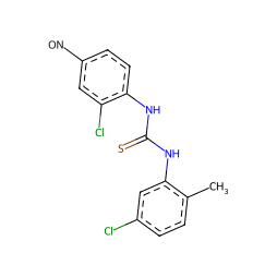 Cc1ccc(Cl)cc1NC(=S)Nc1ccc(N=O)cc1Cl